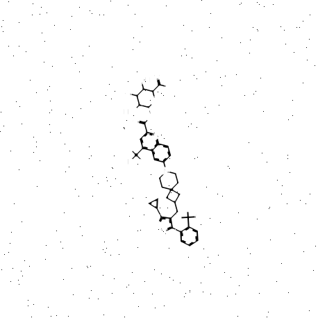 O=C(O[C@@H]1OC(C(=O)O)C(O)C(O)C1O)c1cc(C(F)(F)F)c2cc(N3CCC4(CC3)CC(Cc3c(-c5ccccc5C(F)(F)F)noc3C3CC3)C4)ccc2n1